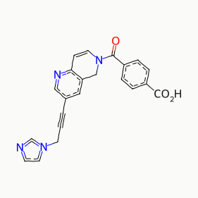 O=C(O)c1ccc(C(=O)N2C=Cc3ncc(C#CCn4ccnc4)cc3C2)cc1